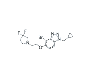 FC1(F)CCN(CCOc2ccc3c(nnn3CC3CC3)c2Br)C1